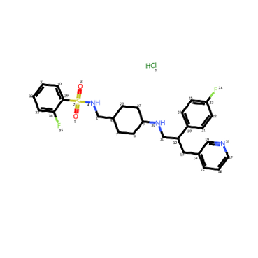 Cl.O=S(=O)(NCC1CCC(NCC(Cc2cccnc2)c2ccc(F)cc2)CC1)c1ccccc1F